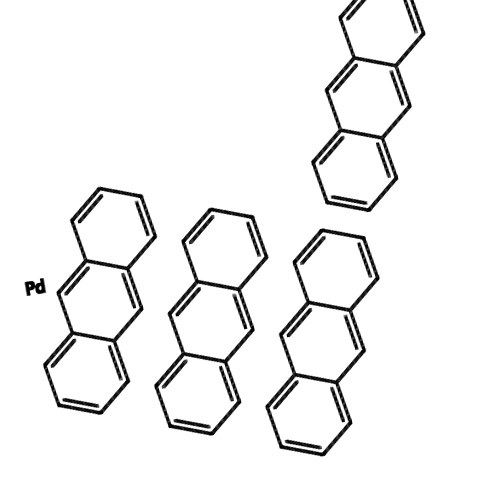 [Pd].c1ccc2cc3ccccc3cc2c1.c1ccc2cc3ccccc3cc2c1.c1ccc2cc3ccccc3cc2c1.c1ccc2cc3ccccc3cc2c1